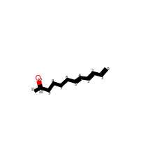 C=CC=CC=CCCCCC(C)=O